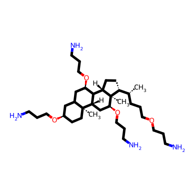 C[C@H](CCCOCCCN)[C@H]1CC[C@H]2C3[C@H](OCCCN)CC4C[C@H](OCCCN)CC[C@]4(C)[C@H]3C[C@H](OCCCN)[C@]12C